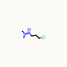 CN(C)NCCCCl